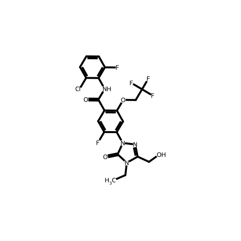 CCn1c(CO)nn(-c2cc(OCC(F)(F)F)c(C(=O)Nc3c(F)cccc3Cl)cc2F)c1=O